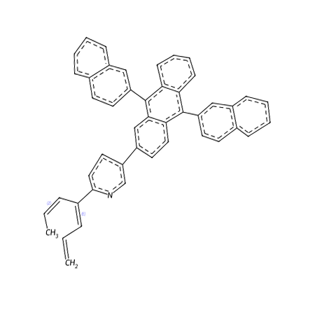 C=C/C=C(\C=C/C)c1ccc(-c2ccc3c(-c4ccc5ccccc5c4)c4ccccc4c(-c4ccc5ccccc5c4)c3c2)cn1